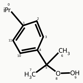 CC(C)c1ccc(C(C)(C)OO)cc1